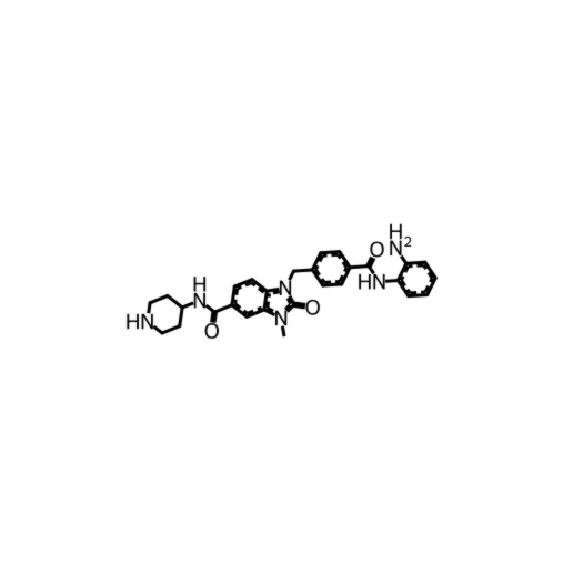 Cn1c(=O)n(Cc2ccc(C(=O)Nc3ccccc3N)cc2)c2ccc(C(=O)NC3CCNCC3)cc21